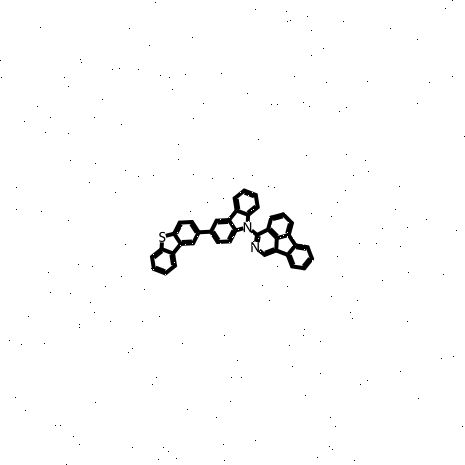 c1ccc2c(c1)-c1cccc3c(-n4c5ccccc5c5cc(-c6ccc7sc8ccccc8c7c6)ccc54)ncc-2c13